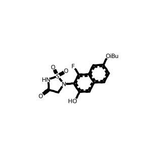 CC(C)COc1ccc2cc(O)c(N3CC(=O)NS3(=O)=O)c(F)c2c1